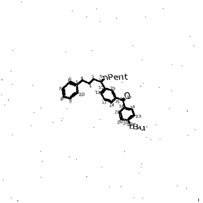 CCCCCC(CCCc1cc[c]cc1)c1cccc(C(=O)c2ccc(C(C)(C)C)cc2)c1